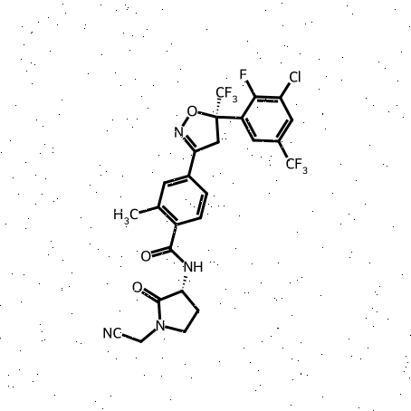 Cc1cc(C2=NO[C@](c3cc(C(F)(F)F)cc(Cl)c3F)(C(F)(F)F)C2)ccc1C(=O)N[C@@H]1CCN(CC#N)C1=O